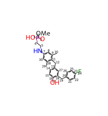 COP(=O)(O)CCNc1cc(C)c(Cc2ccc(O)c(Cc3ccc(F)cc3)c2)c(C)c1